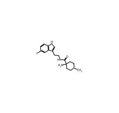 CN1CCC(N)(C(=O)NCCc2c[nH]c3ccc(F)cc23)CC1